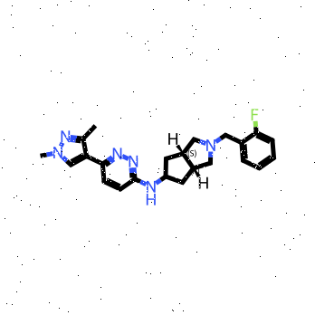 Cc1nn(C)cc1-c1ccc(NC2C[C@@H]3CN(Cc4ccccc4F)C[C@@H]3C2)nn1